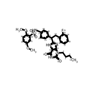 CCCCn1c(=O)[nH]c(=O)c2[nH]c(C(Cc3ccccc3F)c3ccc(NS(=O)(=O)c4cc(OC)ccc4OC)cc3)nc21